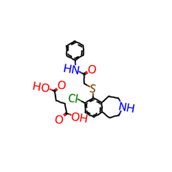 O=C(CSc1c(Cl)ccc2c1CCNCC2)Nc1ccccc1.O=C(O)CCC(=O)O